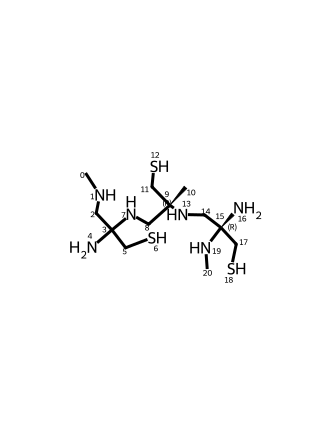 CNCC(N)(CS)NC[C@](C)(CS)NC[C@](N)(CS)NC